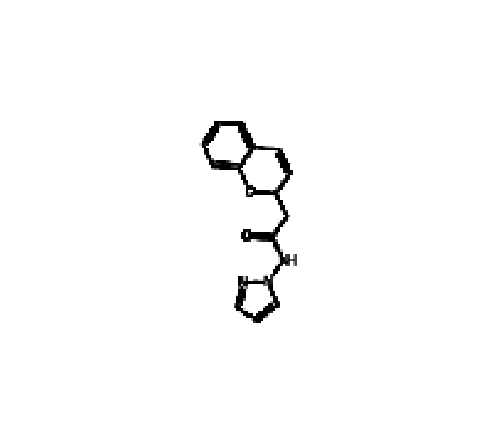 O=C(CC1C=Cc2ccccc2O1)Nn1cccn1